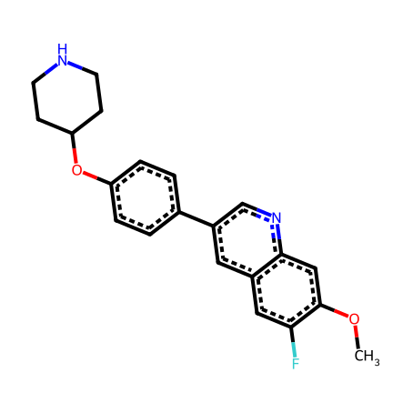 COc1cc2ncc(-c3ccc(OC4CCNCC4)cc3)cc2cc1F